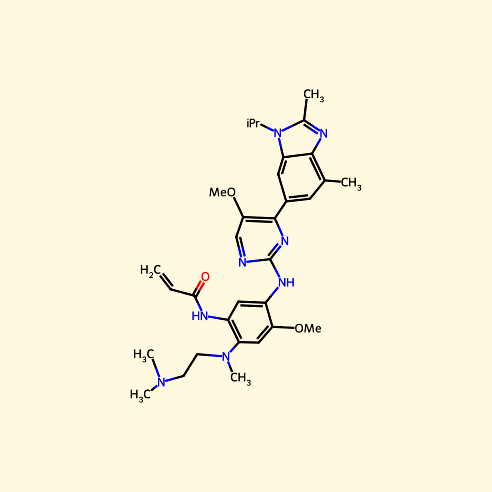 C=CC(=O)Nc1cc(Nc2ncc(OC)c(-c3cc(C)c4nc(C)n(C(C)C)c4c3)n2)c(OC)cc1N(C)CCN(C)C